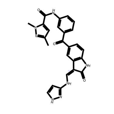 Cc1cc(C(=O)Nc2cccc(C(=O)c3ccc4c(c3)/C(=C/Nc3cc[nH]n3)C(=O)N4)c2)n(C)n1